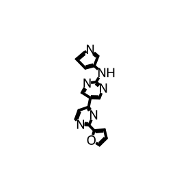 c1cncc(Nc2ncc(-c3ccnc(-c4ccco4)n3)cn2)c1